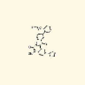 CCOC(=O)c1ccccc1-c1cccc(C(=O)N(NC(=O)OC(C)(C)C)c2cccc(-c3cccs3)c2)c1